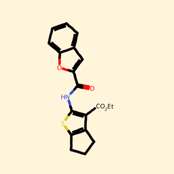 CCOC(=O)c1c(NC(=O)c2cc3ccccc3o2)sc2c1CCC2